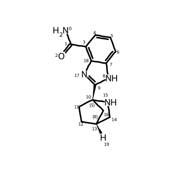 NC(=O)c1cccc2[nH]c([C@@]34CC[C@@H](CN3)C4)nc12